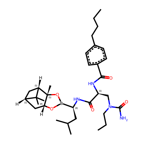 CCCCc1ccc(C(=O)N[C@@H](CN(CCC)C(N)=O)C(=O)N[C@@H](CC(C)C)B2O[C@@H]3C[C@@H]4C[C@@H](C4(C)C)[C@]3(C)O2)cc1